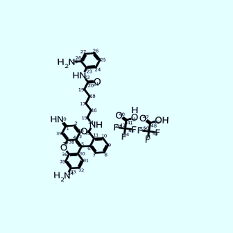 N=c1ccc2c(-c3ccccc3C(=O)NCCCCCC(=O)Nc3ccccc3N)c3ccc(N)cc3oc-2c1.O=C(O)C(F)(F)F.O=C(O)C(F)(F)F